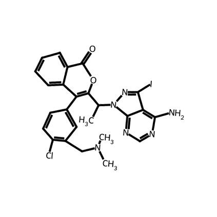 CC(c1oc(=O)c2ccccc2c1-c1ccc(Cl)c(CN(C)C)c1)n1nc(I)c2c(N)ncnc21